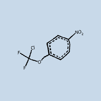 O=[N+]([O-])c1ccc(OC(F)(F)Cl)cc1